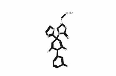 CC(=O)NC[C@H]1CN(C2(c3nccs3)C=C(F)C(c3cccc(F)c3)C(F)=C2)C(=O)O1